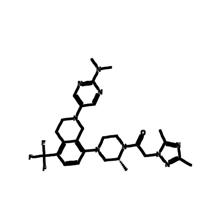 Cc1nc(C)n(CC(=O)N2CCN(c3ccc(C(F)(F)F)c4c3CN(c3cnc(N(C)C)nc3)CC4)C[C@H]2C)n1